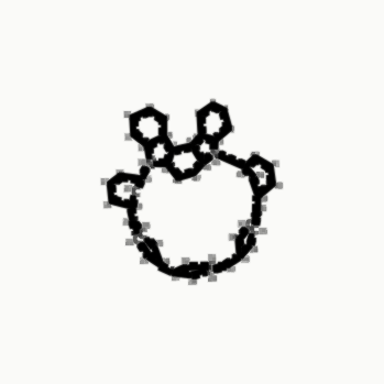 c1ccc2c(c1)c1c3c4ccccc4n4c5cccc(c5)c5ccc(cc5)c5ccc(cc5)c5ccc(cc5)c5cccc(c5)n2c1ccc34